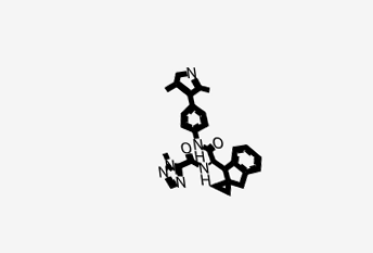 CC1=NCC(C)=C1c1ccc(NC(=O)[C@@H](NC(=O)c2ncnn2C)C2c3ccccc3CC23CC3)cc1